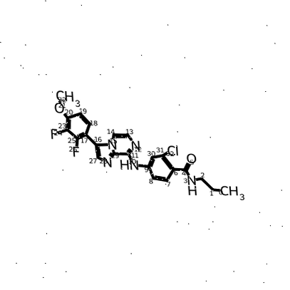 CCCNC(=O)c1ccc(Nc2nccn3c(-c4ccc(OC)c(F)c4F)cnc23)cc1Cl